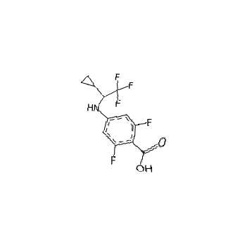 O=C(O)c1c(F)cc(NC(C2CC2)C(F)(F)F)cc1F